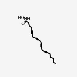 CCCCCC#CCC#CCC#CCC#CCCCC(=O)NO